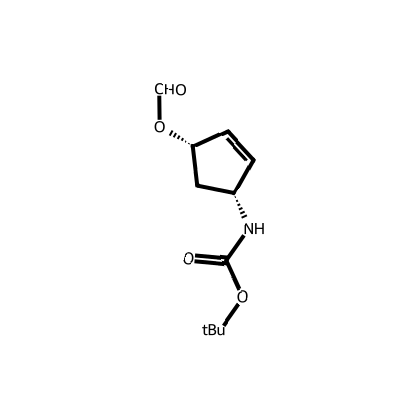 CC(C)(C)OC(=O)N[C@H]1C=C[C@@H](OC=O)C1